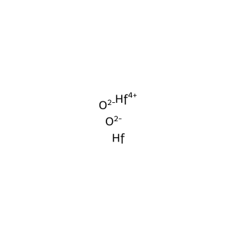 [Hf+4].[Hf].[O-2].[O-2]